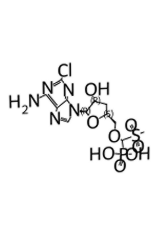 CS(=O)(=O)C(OC[C@@H]1C[C@@H](O)[C@H](n2cnc3c(N)nc(Cl)nc32)O1)P(=O)(O)O